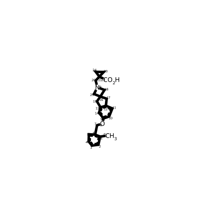 Cc1ccccc1COc1ccc2c(c1)CC1(C2)CN(CC2(C(=O)O)CC2)C1